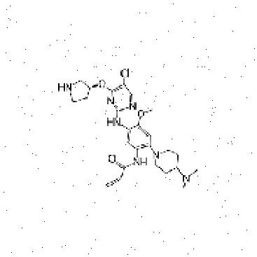 C=CC(=O)Nc1cc(Nc2ncc(Cl)c(O[C@H]3CCNC3)n2)c(OC)cc1N1CCC(N(C)C)CC1